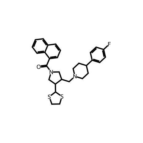 O=C(c1cccc2ccccc12)N1CC(CN2CCC(c3ccc(F)cc3)CC2)C(C2SCCS2)C1